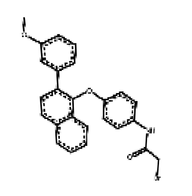 COc1cccc(-c2ccc3ccccc3c2Oc2ccc(NC(=O)CBr)cc2)c1